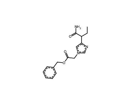 CCC(C(N)=O)c1cn(CC(=O)OCc2ccccc2)cn1